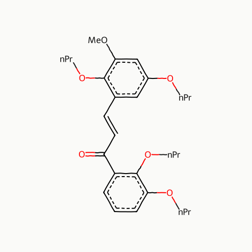 CCCOc1cc(/C=C/C(=O)c2cccc(OCCC)c2OCCC)c(OCCC)c(OC)c1